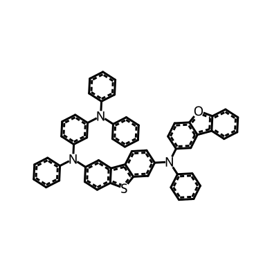 c1ccc(N(c2ccccc2)c2cccc(N(c3ccccc3)c3ccc4sc5cc(N(c6ccccc6)c6ccc7oc8ccccc8c7c6)ccc5c4c3)c2)cc1